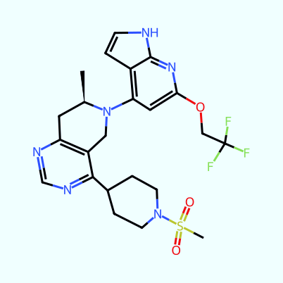 C[C@@H]1Cc2ncnc(C3CCN(S(C)(=O)=O)CC3)c2CN1c1cc(OCC(F)(F)F)nc2[nH]ccc12